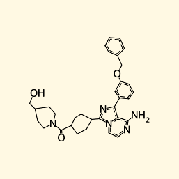 Nc1nccn2c(C3CCC(C(=O)N4CCC(CO)CC4)CC3)nc(-c3cccc(OCc4ccccc4)c3)c12